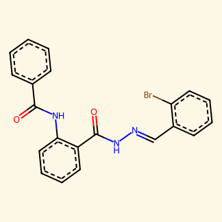 O=C(Nc1ccccc1C(=O)NN=Cc1ccccc1Br)c1ccccc1